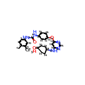 Cc1ccc(NC(=O)Nc2ccc(Oc3cc(NC4CCC(O)CC4)ncn3)cc2)cc1C(F)(F)F